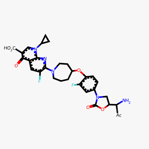 CC(=O)C(N)C1CN(c2ccc(OC3CCCN(c4nc5c(cc4F)c(=O)c(C(=O)O)cn5C4CC4)CC3)c(F)c2)C(=O)O1